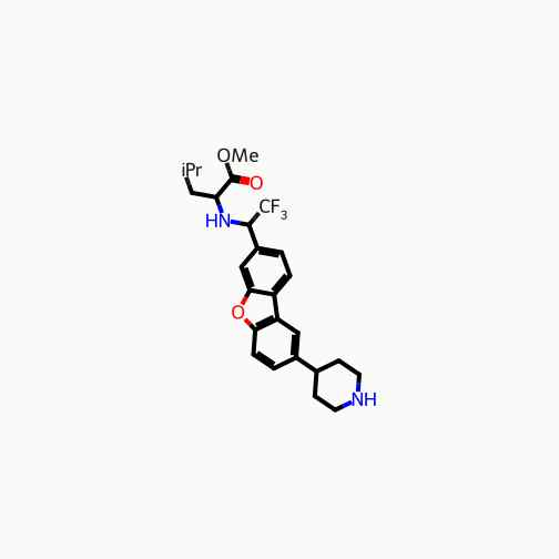 COC(=O)C(CC(C)C)NC(c1ccc2c(c1)oc1ccc(C3CCNCC3)cc12)C(F)(F)F